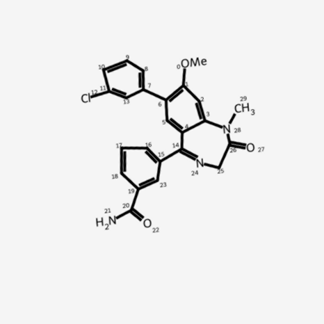 COc1cc2c(cc1-c1cccc(Cl)c1)C(c1cccc(C(N)=O)c1)=NCC(=O)N2C